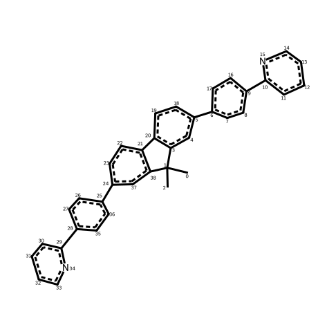 CC1(C)c2cc(-c3ccc(-c4ccccn4)cc3)ccc2-c2ccc(-c3ccc(-c4ccccn4)cc3)cc21